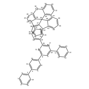 c1ccc(-c2ccc(-c3cc(-c4ccccc4)nc(-c4ccc(-c5cccc6c5C5(c7ccccc7O6)c6ccccc6-c6ccccc65)cc4)n3)cc2)cc1